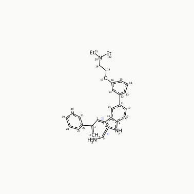 C=C(/C=c1\c(=C/N)[nH]c2ncc(-c3cccc(OCCN(CC)CC)c3)cc12)c1cccnc1